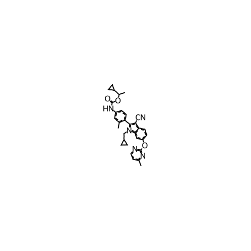 Cc1ccnc(Oc2ccc3c(C#N)c(-c4ccc(NC(=O)OC(C)C5CC5)cc4C)n(CC4CC4)c3c2)n1